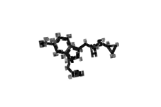 CC(C)(C)Cn1cc(CNSC2CC2)c2ccc(Br)cc21